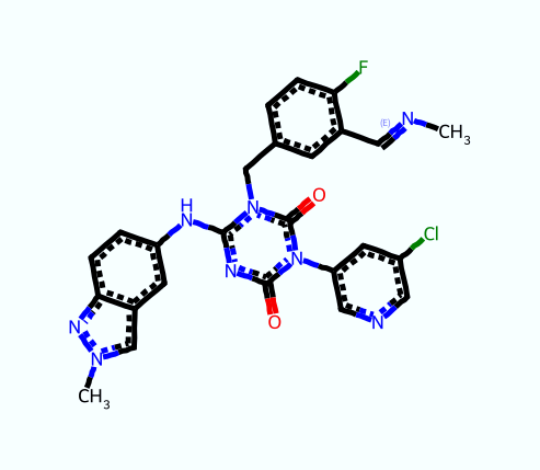 C/N=C/c1cc(Cn2c(Nc3ccc4nn(C)cc4c3)nc(=O)n(-c3cncc(Cl)c3)c2=O)ccc1F